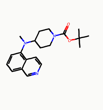 CN(c1cccc2cnccc12)C1CCN(C(=O)OC(C)(C)C)CC1